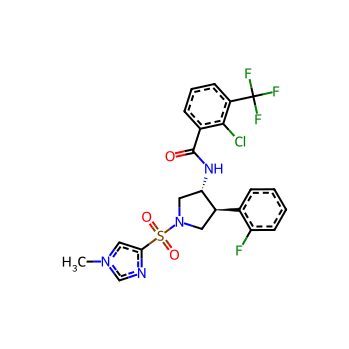 Cn1cnc(S(=O)(=O)N2C[C@H](NC(=O)c3cccc(C(F)(F)F)c3Cl)[C@@H](c3ccccc3F)C2)c1